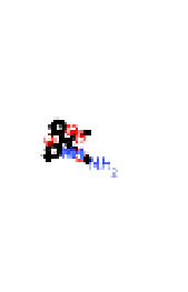 CCOC(=O)C1=C(COCCN)NC2=C(C(=O)CC(C)(C)C2)C1c1ccccc1C